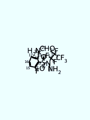 CC(F)(C(F)(F)F)C(F)(F)N(N)S(=O)(=O)c1c(F)cccc1F.NC=O